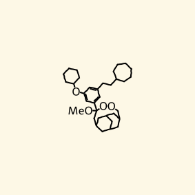 COC1(c2cc(CCC3CCCCCC3)cc(OC3CCCCC3)c2)CC2CC3CC(COO1)CC(C3)C2